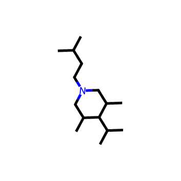 CC(C)CCN1CC(C)C(C(C)C)C(C)C1